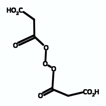 O=C(O)CC(=O)OOOC(=O)CC(=O)O